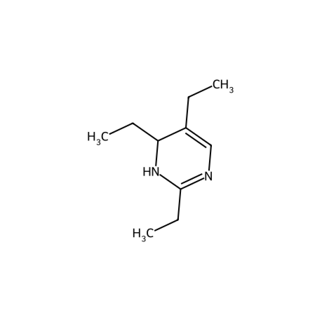 CCC1=CN=C(CC)NC1CC